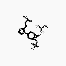 CN(C)C.NC(=O)CCc1nccn1C1=CC2CN(C1)C(=O)N2OS(=O)(=O)O